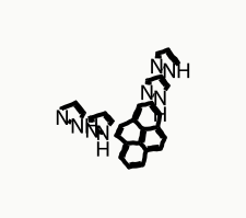 c1cc2ccc3cccc4ccc(c1)c2c34.c1cn[nH]c1.c1cn[nH]c1.c1cn[nH]c1.c1cn[nH]c1